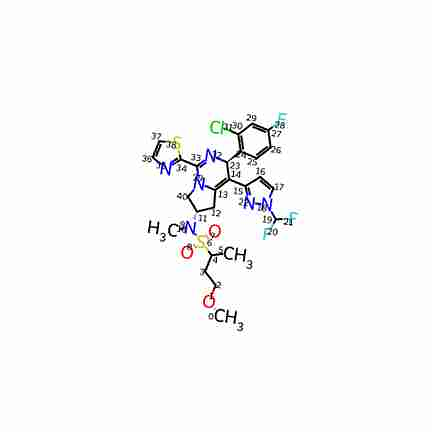 COCCC(C)S(=O)(=O)N(C)[C@H]1CC2=C(c3ccn(C(F)F)n3)[C@H](c3ccc(F)cc3Cl)N=C(c3nccs3)N2C1